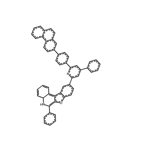 C1=CC2=c3c(oc4ccc(-c5cc(-c6ccccc6)cc(-c6ccc(-c7ccc8c(ccc9ccccc98)c7)cc6)n5)cc34)=C(c3ccccc3)NC2C=C1